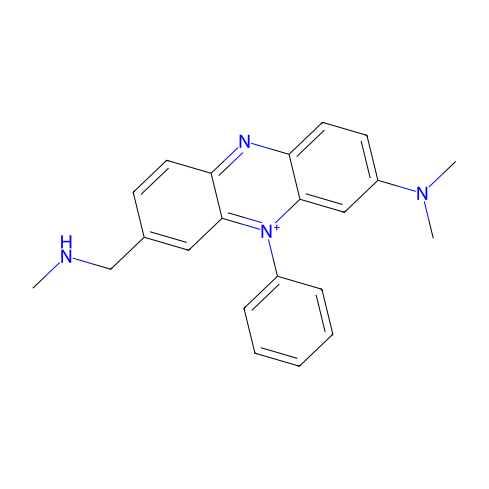 CNCc1ccc2nc3ccc(N(C)C)cc3[n+](-c3ccccc3)c2c1